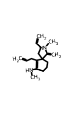 C=CCCC1(C(=C)NC)CCCC(NC)=C1CC=C